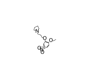 CCOc1ccc([N+](=O)[O-])cc1OCCCN1CCCC1